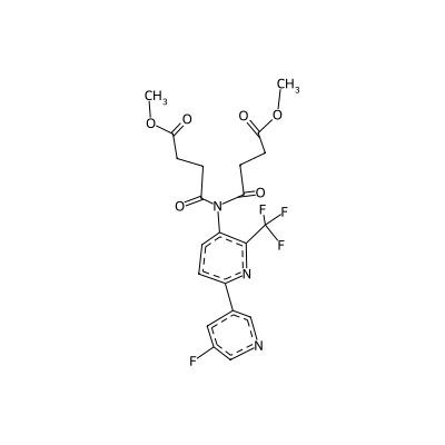 COC(=O)CCC(=O)N(C(=O)CCC(=O)OC)c1ccc(-c2cncc(F)c2)nc1C(F)(F)F